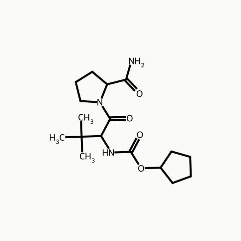 CC(C)(C)C(NC(=O)OC1CCCC1)C(=O)N1CCCC1C(N)=O